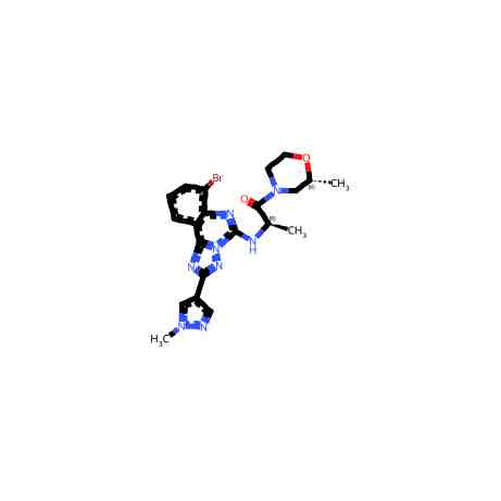 C[C@@H]1CN(C(=O)[C@@H](C)Nc2nc3c(Br)cccc3c3nc(-c4cnn(C)c4)nn23)CCO1